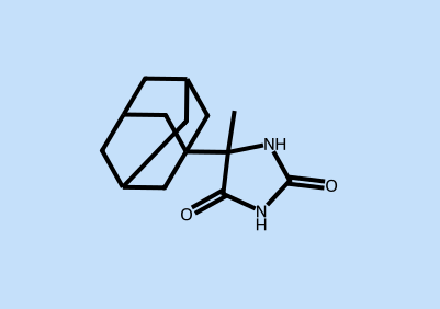 CC1(C23CC4CC(CC(C4)C2)C3)NC(=O)NC1=O